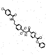 O=C(NCCc1ccc(S(=O)(=O)NC(=O)c2ccc(C(=O)Oc3ccccc3)nc2)cc1)c1ccc(Cl)cc1